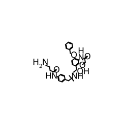 CC(C)(Cc1ccc(NC(=O)CCCN)cc1)NCC(O)c1ccc(OCc2ccccc2)c2c1OCC(=O)N2